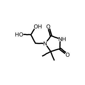 CC1(C)C(=O)NC(=O)N1CC(O)O